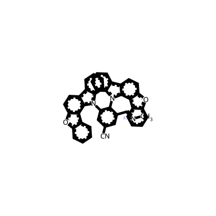 C/N=C/c1cc(C#N)cc(-n2c3ccccc3c3ccc4oc5ccccc5c4c32)c1-n1c2ccccc2c2ccc3oc4ccccc4c3c21